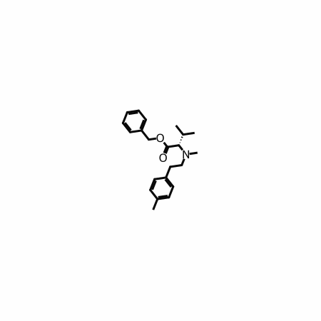 Cc1ccc(CCN(C)[C@H](C(=O)OCc2ccccc2)C(C)C)cc1